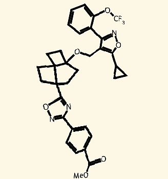 COC(=O)c1ccc(-c2noc(C34CCC5(OCc6c(-c7ccccc7OC(F)(F)F)noc6C6CC6)CCC53CC4)n2)cc1